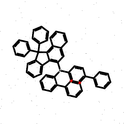 c1ccc(-c2ccc(N(c3ccccc3-c3ccccc3)c3cc4ccccc4c4c3-c3ccccc3C4(c3ccccc3)c3ccccc3)cc2)cc1